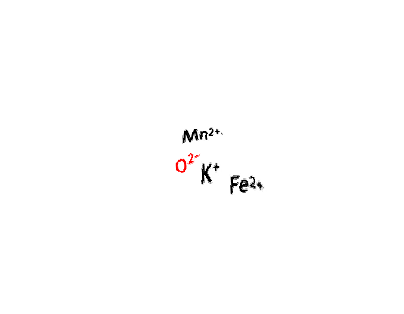 [Fe+2].[K+].[Mn+2].[O-2]